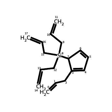 C=CCC1=CC=[C]C1[Si](CC=C)(CC=C)CC=C